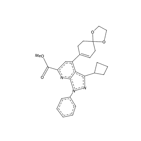 COC(=O)c1cc(C2=CCC3(CC2)OCCO3)c2c(C3CCC3)nn(-c3ccccc3)c2n1